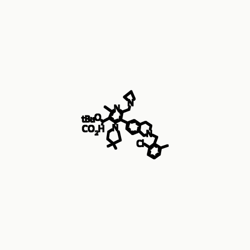 Cc1cccc(Cl)c1CN1CCc2cc(-c3c(CN4CCC4)nc(C)c([C@H](OC(C)(C)C)C(=O)O)c3N3CCC(C)(C)CC3)ccc2C1